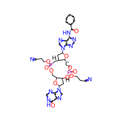 N#CCCOP1(=O)C[C@H]2CC(n3cnc4c(NC(=O)c5ccccc5)ncnc43)OC2COP(=O)(OCCC#N)O[C@H]2CC(n3cnc4c(=O)[nH]cnc43)OC2CO1